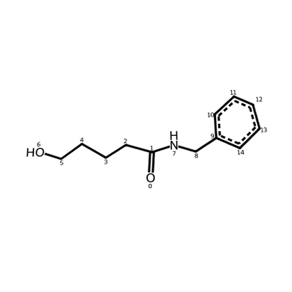 O=C(CCCCO)NCc1ccccc1